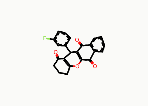 O=C1CCCC2=C1C(c1cccc(F)c1)C1=C(O2)C(=O)c2ccccc2C1=O